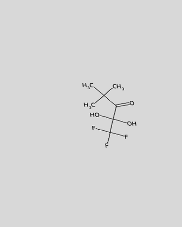 CC(C)(C)C(=O)C(O)(O)C(F)(F)F